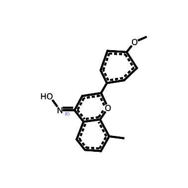 COc1ccc(-c2c/c(=N\O)c3cccc(C)c3o2)cc1